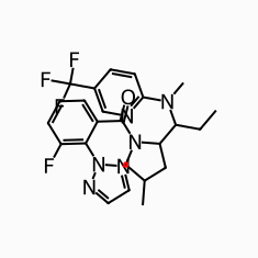 CCC(C1CC(C)CN1C(=O)c1cccc(F)c1-n1nccn1)N(C)c1ccc(C(F)(F)F)cn1